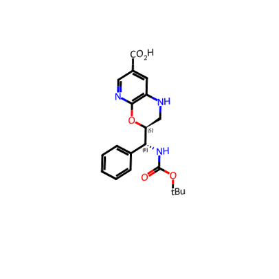 CC(C)(C)OC(=O)N[C@H](c1ccccc1)[C@@H]1CNc2cc(C(=O)O)cnc2O1